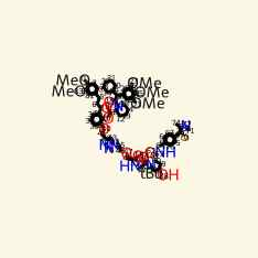 COc1ccc(CCC(OC(=O)[C@H]2CCCCN2C(=O)C(c2cc(OC)c(OC)c(OC)c2)C2CCCCC2)c2cccc(OCc3cn(CCOCC(=O)NC(C(=O)N4C[C@H](O)C[C@H]4C(=O)NCc4ccc(-c5scnc5C)cc4)C(C)(C)C)nn3)c2)cc1OC